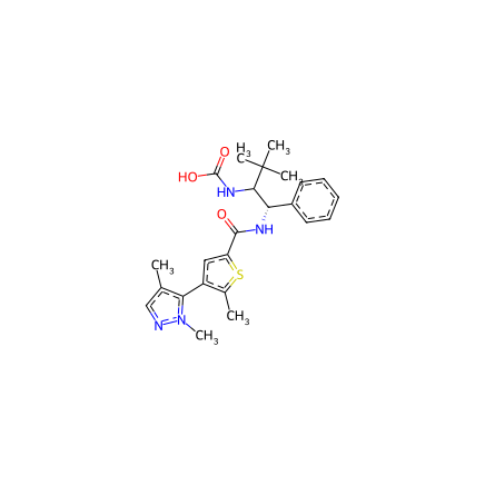 Cc1cnn(C)c1-c1cc(C(=O)N[C@@H](c2ccccc2)C(NC(=O)O)C(C)(C)C)sc1C